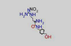 N/C(=N/[N+](=O)[O-])NCCC[C@@H](N)C(=O)NCc1ccc(CO)cc1